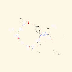 CCCCCCCCCCCCCC(O)CC(=O)NC(CCC(=O)O)C(=O)NC(CCCN)C(=O)NC1C(=O)NC(C(C)O)C(=O)NC(CCC(=O)O)C(=O)NC(C)C(=O)N2CCCC2C(=O)NC(CCC(N)=O)C(=O)NC(Cc2ccc(O)cc2)C(=O)NC(C(C)CC)C(=O)Oc2ccc1cc2